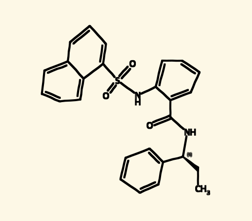 CC[C@H](NC(=O)c1ccccc1NS(=O)(=O)c1cccc2ccccc12)c1ccccc1